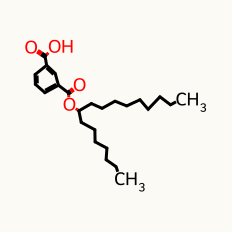 CCCCCCCCCC(CCCCCCC)OC(=O)c1cccc(C(=O)O)c1